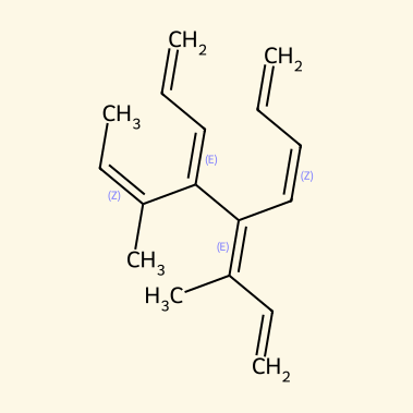 C=C\C=C/C(C(=C/C=C)/C(C)=C\C)=C(/C)C=C